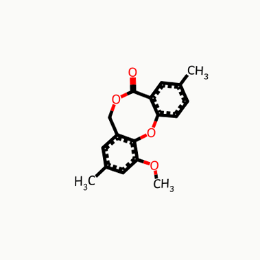 COc1cc(C)cc2c1Oc1ccc(C)cc1C(=O)OC2